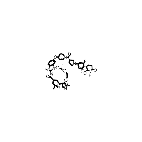 Cc1cc2cc(n1)-c1cnn(C)c1OCCC[C@@H](C)CN1/C(=N/C2=O)Nc2ccc(OC3CCN(C(=O)[C@@H]4CCN(c5cc(F)c([C@H]6CCC(=O)NC6=O)c(F)c5)C4)CC3)cc21